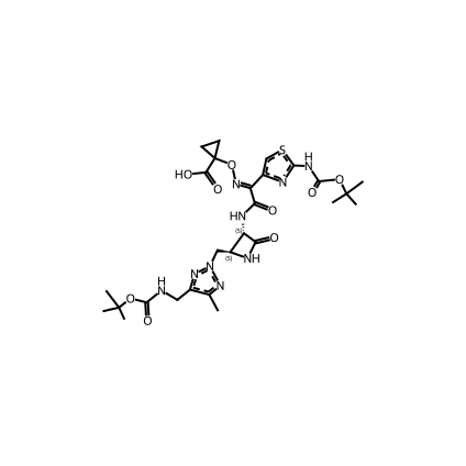 Cc1nn(C[C@@H]2NC(=O)[C@H]2NC(=O)C(=NOC2(C(=O)O)CC2)c2csc(NC(=O)OC(C)(C)C)n2)nc1CNC(=O)OC(C)(C)C